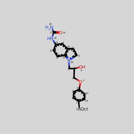 CCCCCCCCc1ccc(OCC(O)Cn2ccc3cc(NC(N)=O)ccc32)cc1